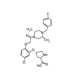 C[C@@H]1CN(Cc2ccc(F)cc2)[C@@H](C)CN1C(=O)COc1ccc(Cl)cc1O[C@@H]1CNC(C(=O)O)C1